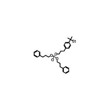 CCC(C)(C)c1ccc(CCCOP(=O)(OCCCc2ccccc2)OCCCc2ccccc2)cc1